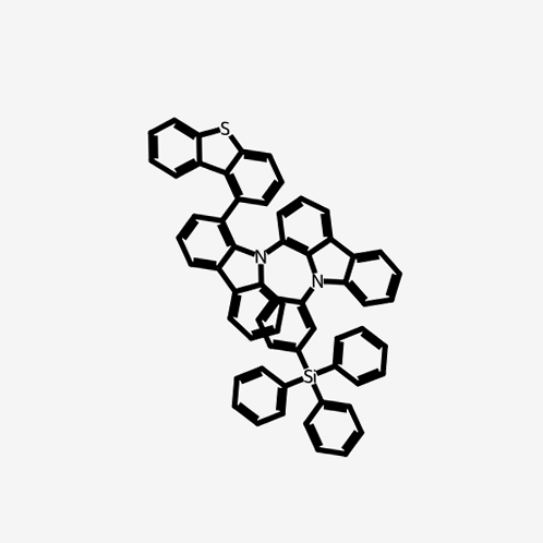 c1ccc([Si](c2ccccc2)(c2ccccc2)c2cccc(-n3c4ccccc4c4cccc(-n5c6ccccc6c6cccc(-c7cccc8sc9ccccc9c78)c65)c43)c2)cc1